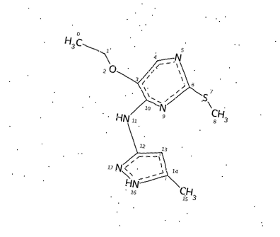 CCOc1cnc(SC)nc1Nc1cc(C)[nH]n1